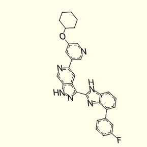 Fc1cccc(-c2cccc3[nH]c(-c4n[nH]c5cnc(-c6cncc(OC7CCCCC7)c6)cc45)nc23)c1